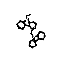 CCn1c2ccccc2c2c(Cn3c4ccccc4c4ccccc43)cccc21